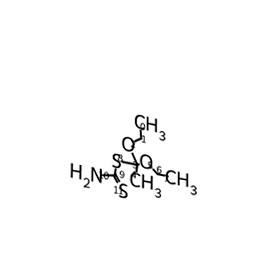 CCOC(C)(OCC)SC(N)=S